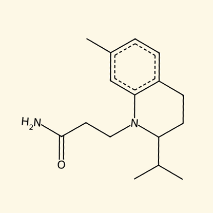 Cc1ccc2c(c1)N(CCC(N)=O)C(C(C)C)CC2